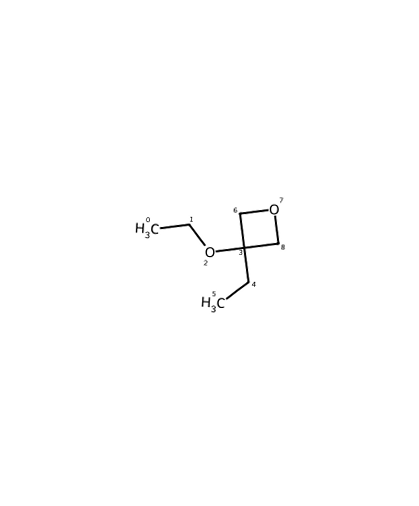 CCOC1(CC)COC1